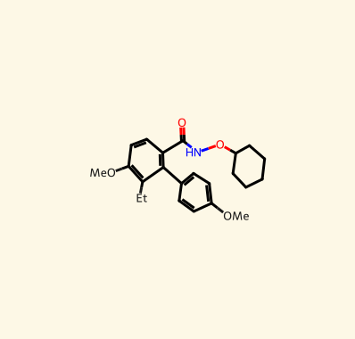 CCc1c(OC)ccc(C(=O)NOC2CCCCC2)c1-c1ccc(OC)cc1